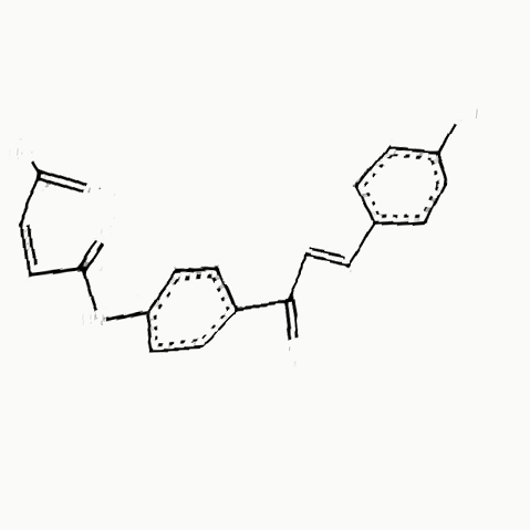 Cc1ccc(/C=C/C(=O)c2ccc(NC(=O)/C=C\C(=O)O)cc2)cc1